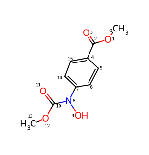 COC(=O)c1ccc(N(O)C(=O)OC)cc1